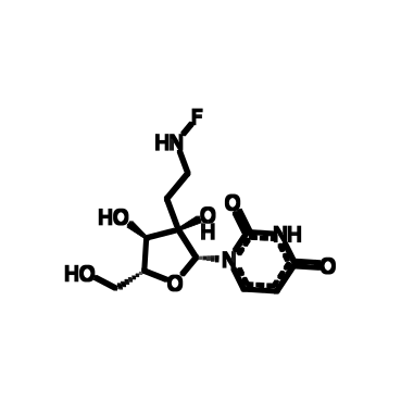 O=c1ccn([C@@H]2O[C@H](CO)[C@@H](O)[C@]2(O)CCNF)c(=O)[nH]1